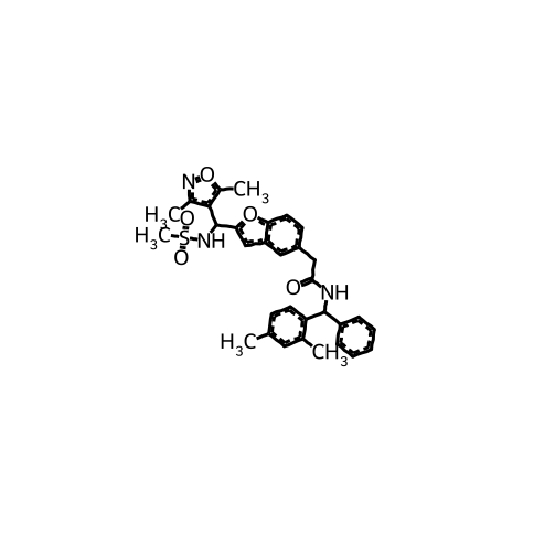 Cc1ccc(C(NC(=O)Cc2ccc3oc(C(NS(C)(=O)=O)c4c(C)noc4C)cc3c2)c2ccccc2)c(C)c1